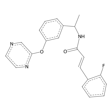 CC(NC(=O)/C=C/c1ccccc1F)c1cccc(Oc2cnccn2)c1